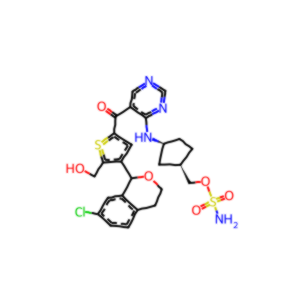 NS(=O)(=O)OC[C@@H]1CC[C@H](Nc2ncncc2C(=O)c2cc(C3OCCc4ccc(Cl)cc43)c(CO)s2)C1